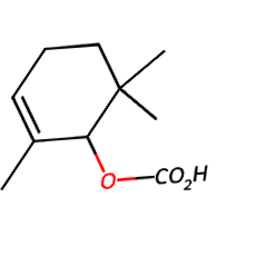 CC1=CCCC(C)(C)C1OC(=O)O